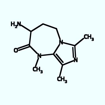 Cc1nc(C)n2c1N(C)C(=O)C(N)CC2